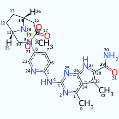 Cc1nc(Nc2ccc(N3C[C@@H]4CC[C@H](CC3=O)N4S(C)(=O)=O)cn2)nc2[nH]c(C(N)=O)c(C)c12